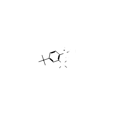 CC(C)(C)c1ccc(S(=O)(=O)O)c([Si](C)(C)C)c1